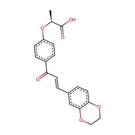 C[C@H](Oc1ccc(C(=O)/C=C/c2ccc3c(c2)OCCO3)cc1)C(=O)O